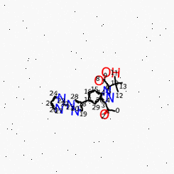 CC(=O)c1nn(C(C(=O)O)C(C)(C)C)c2ccc(-c3cnn(-c4ncccn4)c3)cc12